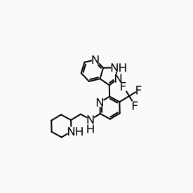 FC(F)(F)c1ccc(NCC2CCCCN2)nc1-c1n[nH]c2ncccc12